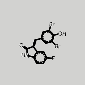 O=C1Nc2ccc(F)cc2/C1=C\c1cc(Br)c(O)c(Br)c1